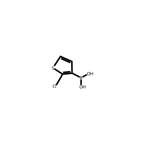 OB(O)c1ccsc1Cl